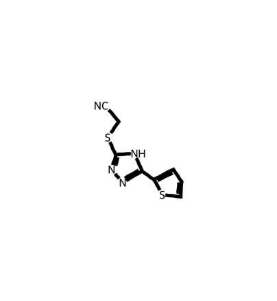 N#CCSc1nnc(-c2cccs2)[nH]1